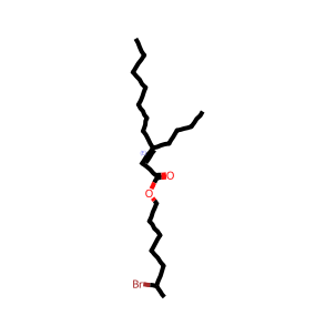 CCCCCCC/C(=C/C(=O)OCCCCCC(C)Br)CCCC